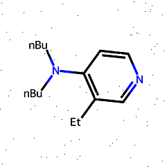 CCCCN(CCCC)c1ccncc1CC